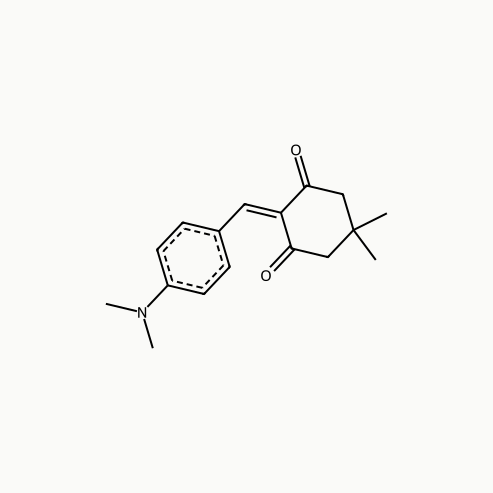 CN(C)c1ccc(C=C2C(=O)CC(C)(C)CC2=O)cc1